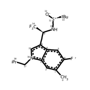 Cc1cc2c(cc1F)c([C@H](N[S@@+]([O-])C(C)(C)C)C(F)(F)F)cn2CC(C)C